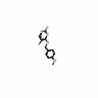 COc1ccc(COc2nc(Cl)ncc2I)cc1